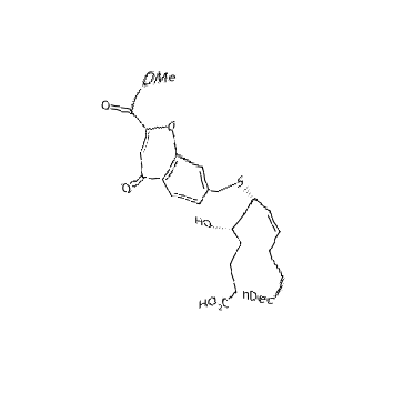 CCCCCCCCCCCC/C=C\[C@@H](Sc1ccc2c(=O)cc(C(=O)OC)oc2c1)[C@@H](O)CCCC(=O)O